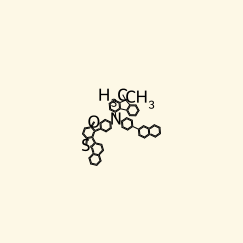 CC1(C)c2ccccc2-c2c(N(c3ccc(-c4ccc5ccccc5c4)cc3)c3ccc4c(c3)oc3ccc5sc6c7ccccc7ccc6c5c34)cccc21